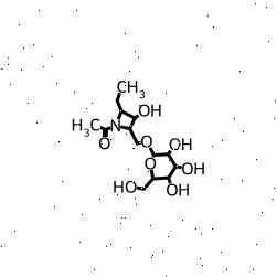 CCC1C(O)C(COC2OC(CO)C(O)C(O)C2O)N1C(C)=O